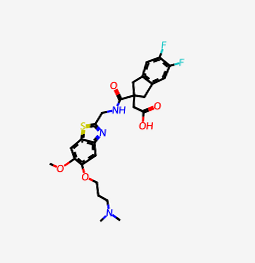 COc1cc2sc(CNC(=O)C3(CC(=O)O)Cc4cc(F)c(F)cc4C3)nc2cc1OCCCN(C)C